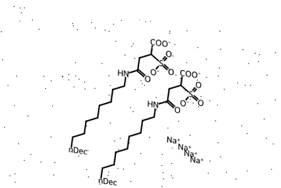 CCCCCCCCCCCCCCCCCCNC(=O)CC(C(=O)[O-])S(=O)(=O)[O-].CCCCCCCCCCCCCCCCCCNC(=O)CC(C(=O)[O-])S(=O)(=O)[O-].[Na+].[Na+].[Na+].[Na+]